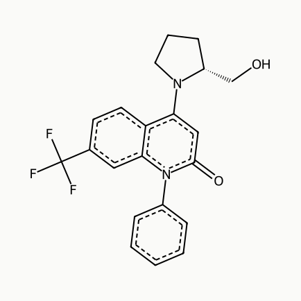 O=c1cc(N2CCC[C@@H]2CO)c2ccc(C(F)(F)F)cc2n1-c1ccccc1